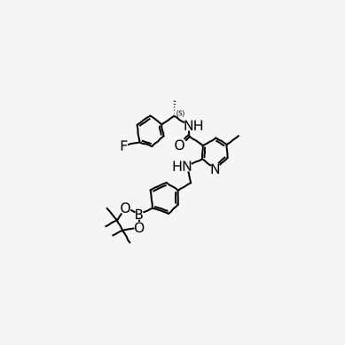 Cc1cnc(NCc2ccc(B3OC(C)(C)C(C)(C)O3)cc2)c(C(=O)N[C@@H](C)c2ccc(F)cc2)c1